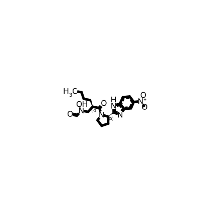 CCCC[C@H](CN(O)C=O)C(=O)N1CCC[C@H]1c1nc2cc([N+](=O)[O-])ccc2[nH]1